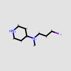 CN(CCCI)C1CCNCC1